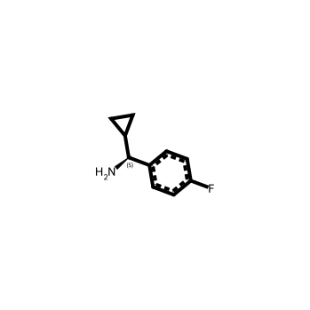 N[C@H](c1ccc(F)cc1)C1CC1